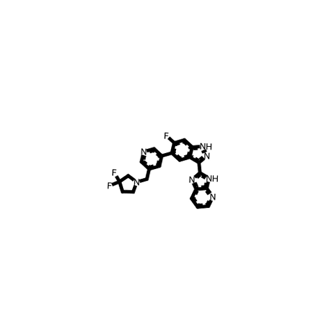 Fc1cc2[nH]nc(-c3nc4cccnc4[nH]3)c2cc1-c1cncc(CN2CCC(F)(F)C2)c1